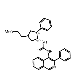 COCCN1C[C@@H](NC(=O)Nc2c(-c3ccccc3)ncc3ccccc23)[C@H](c2ccccc2)C1